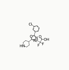 Clc1cccc(-c2nnc(C3CCNCC3)o2)c1.O=C(O)C(F)(F)F